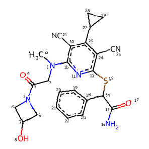 CN(CC(=O)N1CC(O)C1)c1nc(SC(C(N)=O)c2ccccc2)c(C#N)c(C2CC2)c1C#N